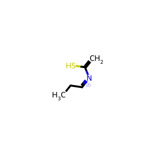 C=C(S)/N=C\CC